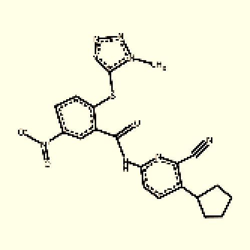 Cn1nnnc1Sc1ccc([N+](=O)[O-])cc1C(=O)Nc1ccc(C2CCCC2)c(C#N)n1